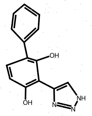 Oc1ccc(-c2ccccc2)c(O)c1-c1c[nH]nn1